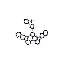 CC1(C)c2ccccc2-c2cc(-c3cc4c5c(c3)-n3c6cc7ccccc7cc6c6cccc(c63)B5c3cccc5c6cc7ccccc7cc6n-4c35)ccc21